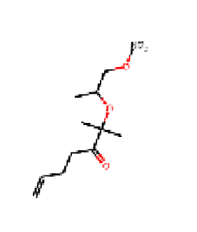 C=CCCC(=O)C(C)(C)OC(C)CO[N+](=O)[O-]